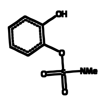 CNS(=O)(=O)Oc1ccccc1O